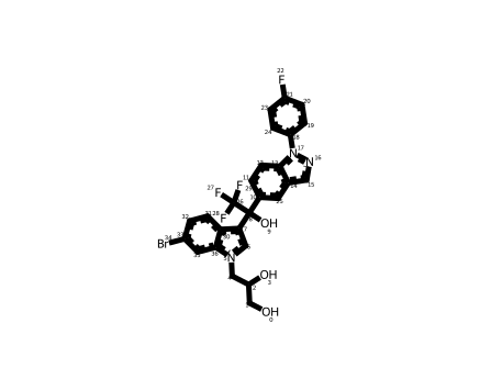 OCC(O)Cn1cc(C(O)(c2ccc3c(cnn3-c3ccc(F)cc3)c2)C(F)(F)F)c2ccc(Br)cc21